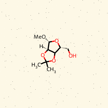 CO[C@@H]1O[C@H](CO)C2OC(C)(C)O[C@H]21